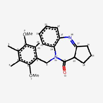 COc1c(C)c(C)c(OC)c(CN2C(=O)C3CCCC3=Nc3ccccc32)c1C